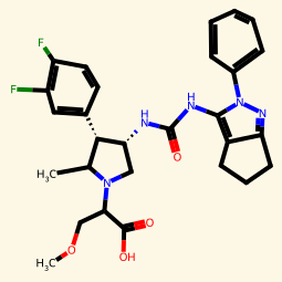 COCC(C(=O)O)N1C[C@@H](NC(=O)Nc2c3c(nn2-c2ccccc2)CCC3)[C@@H](c2ccc(F)c(F)c2)C1C